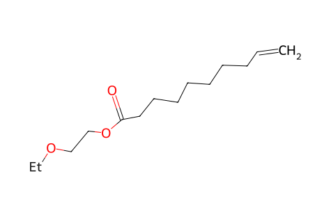 C=CCCCCCCCC(=O)OCCOCC